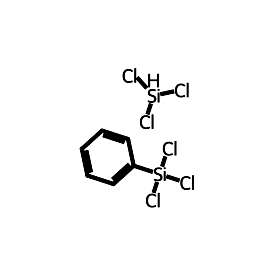 Cl[SiH](Cl)Cl.Cl[Si](Cl)(Cl)c1ccccc1